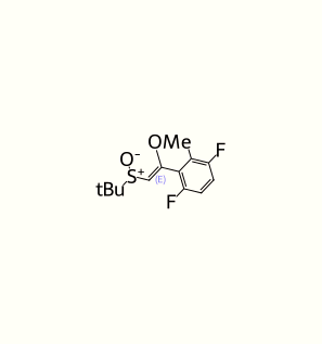 COc1c(F)ccc(F)c1/C(C)=C/[S+]([O-])C(C)(C)C